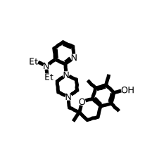 CCN(CC)c1cccnc1N1CCN(CC2(C)CCc3c(C)c(O)c(C)c(C)c3O2)CC1